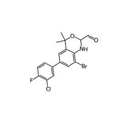 CC1(C)OC(C=O)Nc2c(Br)cc(-c3ccc(F)c(Cl)c3)cc21